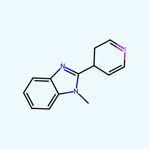 Cn1c(C2C=CI=CC2)nc2ccccc21